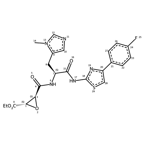 CCOC(=O)[C@H]1O[C@@H]1C(=O)N[C@@H](Cc1cncn1C)C(=O)Nc1nc(-c2ccc(F)cc2)cs1